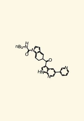 CCCCNC(=O)n1ccc2c1=CCC(C(=O)c1c[nH]c3ncc(-c4cccnc4)cc13)C=2